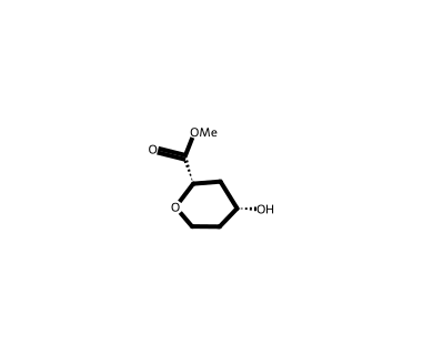 COC(=O)[C@@H]1C[C@H](O)CCO1